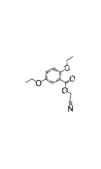 CCOc1ccc(OCC)c(C(=O)OCC#N)c1